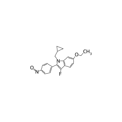 CCOc1ccc2c(F)c(-c3ccc(N=O)cc3)n(CC3CC3)c2c1